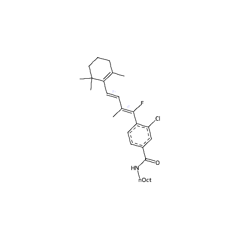 CCCCCCCCNC(=O)c1ccc(/C(F)=C(C)/C=C/C2=C(C)CCCC2(C)C)c(Cl)c1